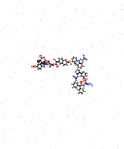 CC(CN1c2ccccc2Sc2ccccc21)N(C)C.CC[C@@H](c1cccc(O)c1)[C@@H](C)CN(C)C.COc1ccc2cc([C@H](C)C(=O)O)ccc2c1.NC(=O)C[S+]([O-])C(c1ccccc1)c1ccccc1.O=C1CC[C@@]2(O)[C@H]3Cc4ccc(O)c5c4[C@@]2(CCN3CC2CC2)[C@H]1O5